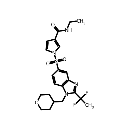 CCNC(=O)c1ccn(S(=O)(=O)c2ccc3c(c2)nc(C(C)(F)F)n3CC2CCOCC2)c1